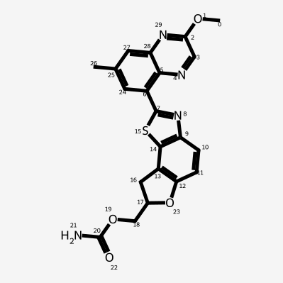 COc1cnc2c(-c3nc4ccc5c(c4s3)CC(COC(N)=O)O5)cc(C)cc2n1